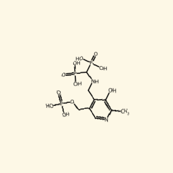 Cc1ncc(COP(=O)(O)O)c(CNC(P(=O)(O)O)P(=O)(O)O)c1O